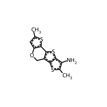 Cc1cc2c(s1)-c1sc3c(N)c(C)sc3c1CO2